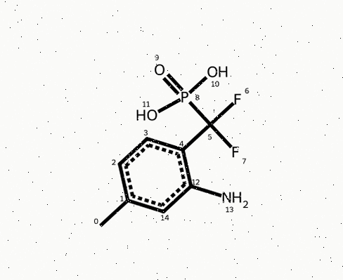 Cc1ccc(C(F)(F)P(=O)(O)O)c(N)c1